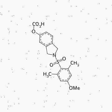 COc1cc(C)c(S(=O)(=O)N2Cc3ccc(OC(=O)O)cc3C2)c(C)c1